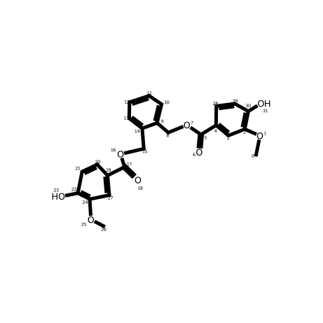 COc1cc(C(=O)OCc2ccccc2COC(=O)c2ccc(O)c(OC)c2)ccc1O